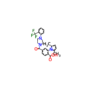 Cc1ccc(C)n1-c1cc(C(=O)N2CCN(c3ccccc3C(F)(F)F)CC2)ccc1C(=O)O